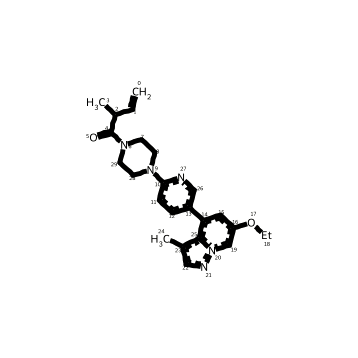 C=CC(C)C(=O)N1CCN(c2ccc(-c3cc(OCC)cn4ncc(C)c34)cn2)CC1